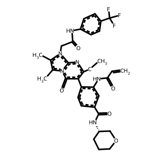 C=CC(=O)Nc1cc(C(=O)N[C@H]2CCCOC2)ccc1-c1c(CC)nc2n(CC(=O)Nc3ccc(C(F)(F)F)cc3)c(C)c(C)n2c1=O